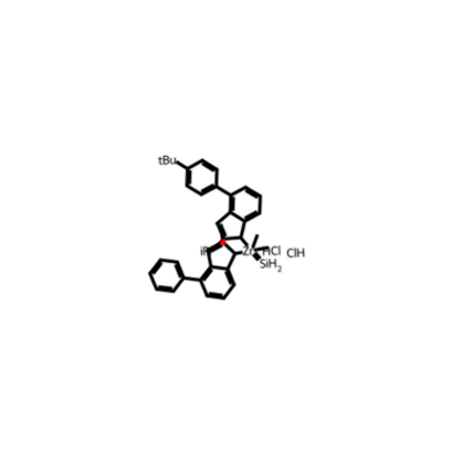 CC1=Cc2c(-c3ccccc3)cccc2[CH]1[Zr]([CH3])([CH3])(=[SiH2])[CH]1C(C(C)C)=Cc2c(-c3ccc(C(C)(C)C)cc3)cccc21.Cl.Cl